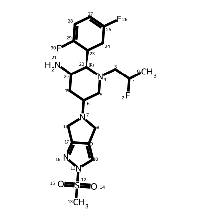 CC(F)CN1CC(N2Cc3cn(S(C)(=O)=O)nc3C2)CC(N)[C@H]1C1CC(F)=CC=C1F